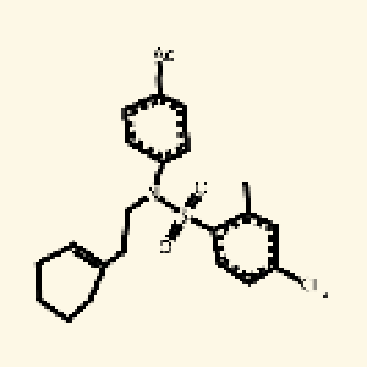 CC(=O)c1ccc(N(CCC2=CCCCC2)S(=O)(=O)c2ccc(C(F)(F)F)cc2C)cc1